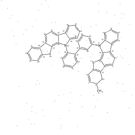 CC1C=Cc2sc3c(ccc4c5ccccc5n(-c5cccc(-c6ccccc6-n6c7ccccc7c7ccc8c9ccccc9sc8c76)c5)c43)c2C1